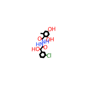 Cc1cc(O)cc(O)c1C(=O)NNC(=O)C(O)c1cccc(Cl)c1